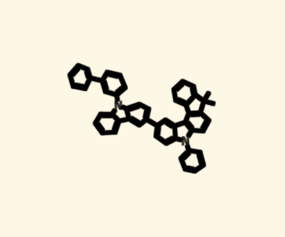 CC1(C)c2ccccc2-c2c1ccc1c2c2cc(-c3ccc4c(c3)c3ccccc3n4-c3cccc(-c4ccccc4)c3)ccc2n1-c1ccccc1